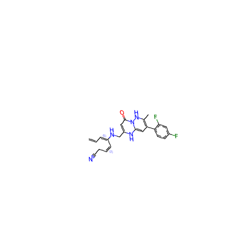 C=C/C=C(\C=C/CC#N)NCC1=CC(=O)N2NC(C)=C(c3ccc(F)cc3F)C=C2N1